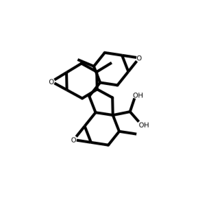 CC1CC2OC2CC1CC1C2OC2CC(C)C1(CC1CC2OC2CC1C)C(O)O